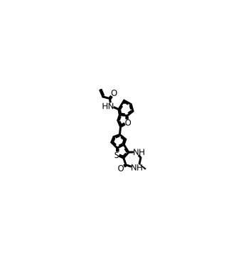 C=CC(=O)Nc1cccc2oc(-c3ccc4sc5c(c4c3)NC[C@@H](C)NC5=O)cc12